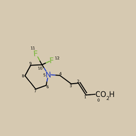 O=C(O)C=CCCN1CCCCC1(F)F